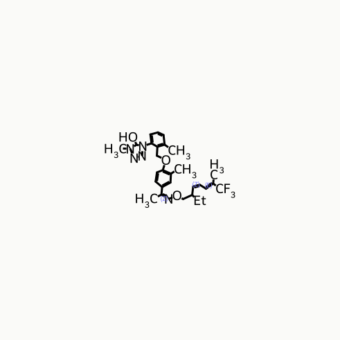 CCC(/C=C\C=C(/C)C(F)(F)F)CO/N=C(/C)c1ccc(OCc2c(C)cccc2N2N=NN(C)C2O)c(C)c1